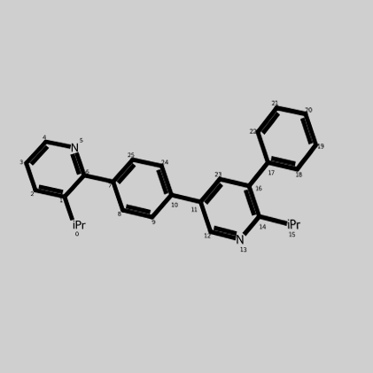 CC(C)c1cccnc1-c1ccc(-c2cnc(C(C)C)c(-c3ccccc3)c2)cc1